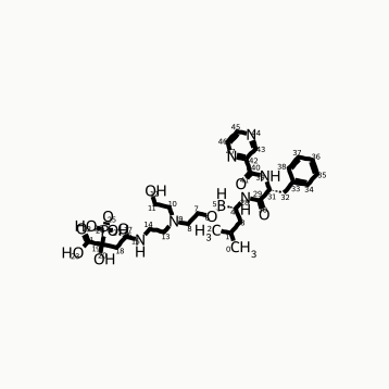 CC(C)C[C@H](BOCCN(CCO)CCNC(=O)CC(O)(C(=O)O)P(=O)(O)O)NC(=O)[C@@H](Cc1ccccc1)NC(=O)c1cnccn1